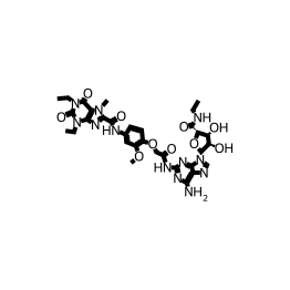 CCNC(=O)[C@H]1O[C@@H](n2cnc3c(N)nc(NC(=O)COc4ccc(NC(=O)c5nc6c(c(=O)n(CC)c(=O)n6CC)n5C)cc4OC)nc32)[C@H](O)[C@@H]1O